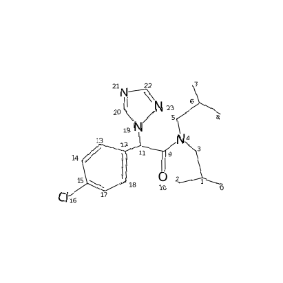 CC(C)CN(CC(C)C)C(=O)C(c1ccc(Cl)cc1)n1cncn1